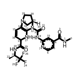 CNC(=O)c1ccnc(NC(=O)N2C3=C(C=CC(C(=O)N[C@H](C)C(F)(F)F)N3)N3CC[C@H]2C3)c1